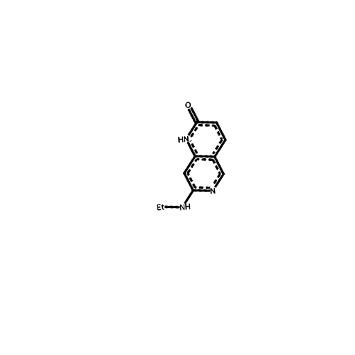 CCNc1cc2[nH]c(=O)ccc2cn1